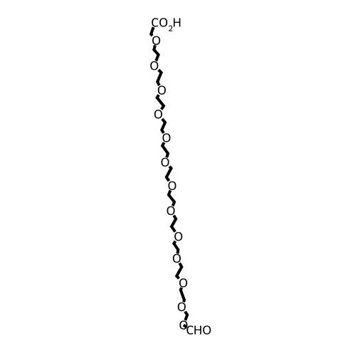 O=COCOCCOCCOCCOCCOCCOCCOCCOCCOCCOCCOCCOCC(=O)O